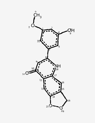 COc1cc(O)cc(-c2cc(=O)c3cc4c(cc3[nH]2)COO4)c1